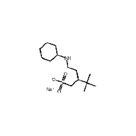 CC(C)(C)C(CCNC1CCCCC1)CS(=O)(=O)[O-].[Na+]